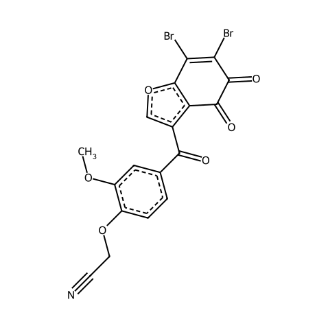 COc1cc(C(=O)c2coc3c2C(=O)C(=O)C(Br)=C3Br)ccc1OCC#N